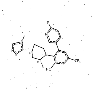 C[C@@H]1C[C@H](c2nncn2C)CCN1c1c(C#N)cc(C(F)(F)F)nc1-c1ccc(F)nc1